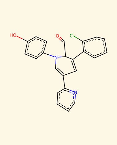 O=CC1C(c2ccccc2Cl)=CC(c2ccccn2)=CN1c1ccc(O)cc1